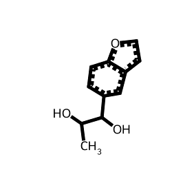 CC(O)C(O)c1ccc2occc2c1